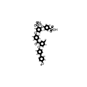 COc1ccc(-c2ccc(Oc3ccc(C)cc3C(=O)c3ccc(Oc4ccc(Oc5ccc(S(=O)(=O)O)cc5)c(S(=O)(=O)O)c4)cc3)cc2)cc1